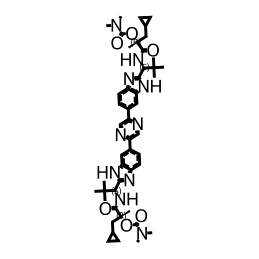 CN(C)C(=O)O[C@](C)(CC1CC1)C(=O)N[C@H](c1nc2ccc(-c3cnc(-c4ccc5nc([C@@H](NC(=O)[C@@](C)(CC6CC6)OC(=O)N(C)C)C(C)(C)C)[nH]c5c4)cn3)cc2[nH]1)C(C)(C)C